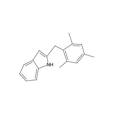 Cc1cc(C)c(Cc2cc3ccccc3[nH]2)c(C)c1